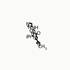 CC(C)c1nn(CC(=O)Nc2ccncn2)c(=O)c2cc(C3CN(C)C3)cn12